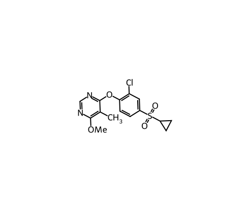 COc1ncnc(Oc2ccc(S(=O)(=O)C3CC3)cc2Cl)c1C